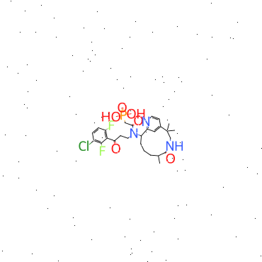 CC1CCCC(N(CCC(=O)c2c(F)ccc(Cl)c2F)C(=O)CP(=O)(O)O)c2cc(ccn2)C(C)(C)CNC1=O